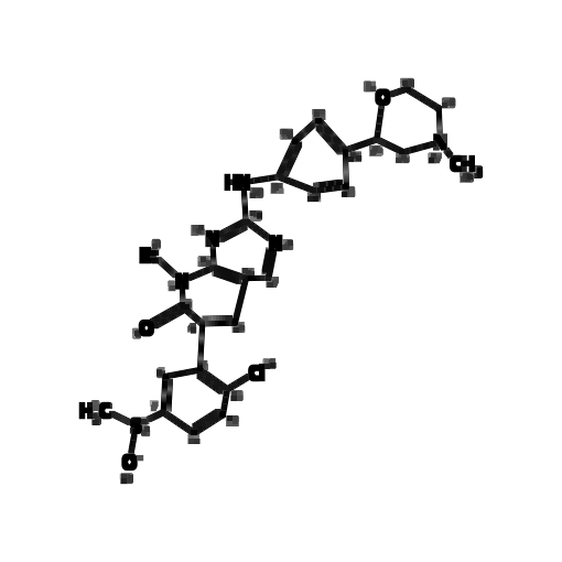 CCn1c(=O)c(-c2cc([S+](C)[O-])ccc2Cl)cc2cnc(Nc3ccc(C4CN(C)CCO4)cc3)nc21